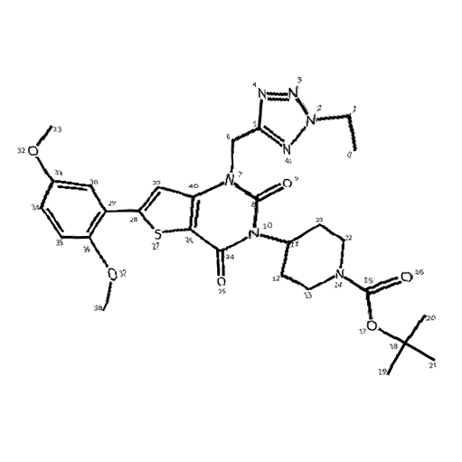 CCn1nnc(Cn2c(=O)n(C3CCN(C(=O)OC(C)(C)C)CC3)c(=O)c3sc(-c4cc(OC)ccc4OC)cc32)n1